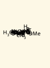 COc1ccc(Nc2cnn(CC(=O)N(C)c3ccc4nc(C)oc4c3)c(=O)c2)c(Br)c1